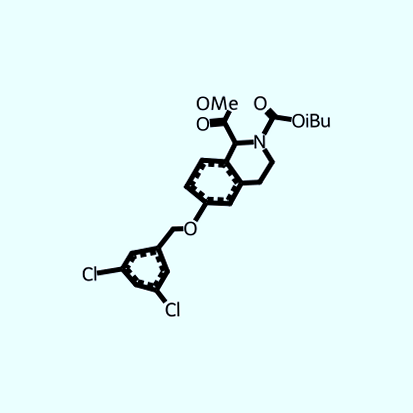 COC(=O)C1c2ccc(OCc3cc(Cl)cc(Cl)c3)cc2CCN1C(=O)OCC(C)C